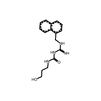 N=C(NCc1cccc2ccccc12)NC(=O)NCCCO